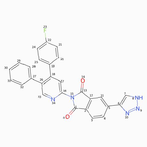 O=C1c2ccc(-c3c[nH]nn3)cc2C(=O)N1c1cc(-c2ccc(F)cc2)c(-c2ccccc2)cn1